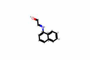 O=CC=Nc1cccc2ccccc12